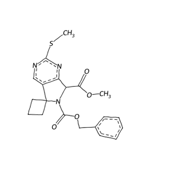 COC(=O)C1c2nc(SC)ncc2C2(CCC2)N1C(=O)OCc1ccccc1